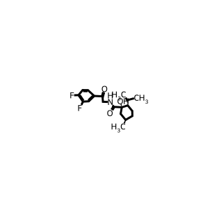 CC(C)[C@@H]1CC[C@@H](C)C[C@@]1(O)C(=O)NCC(=O)c1ccc(F)c(F)c1